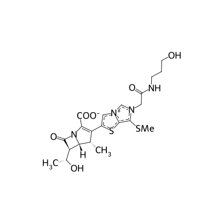 CSc1c2sc(C3=C(C(=O)[O-])N4C(=O)[C@H]([C@@H](C)O)[C@H]4[C@H]3C)c[n+]2cn1CC(=O)NCCCO